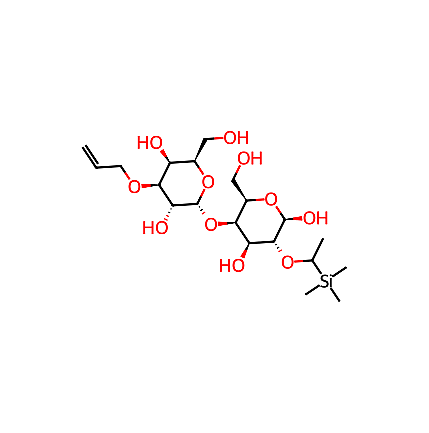 C=CCO[C@H]1[C@@H](O)[C@@H](CO)O[C@H](O[C@@H]2[C@H](O)[C@@H](OC(C)[Si](C)(C)C)[C@H](O)O[C@@H]2CO)[C@@H]1O